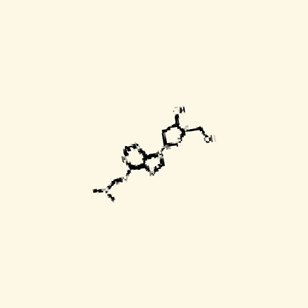 CN(C)C=Nc1ncnc2c1ncn2[C@H]1CC(O)[C@@H](CO)O1